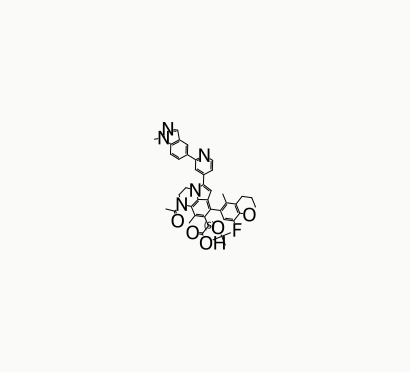 CC(=O)N1CCn2c(-c3ccnc(-c4ccc5c(cnn5C)c4)c3)cc3c(-c4cc(F)c5c(c4C)CCCO5)c([C@H](OC(C)(C)C)C(=O)O)c(C)c1c32